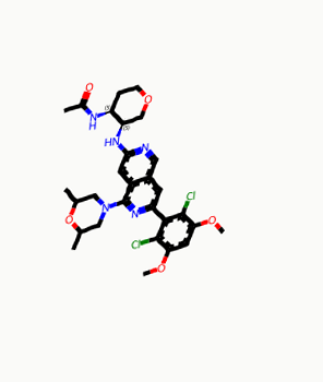 COc1cc(OC)c(Cl)c(-c2cc3cnc(N[C@@H]4COCC[C@@H]4NC(C)=O)cc3c(N3CC(C)OC(C)C3)n2)c1Cl